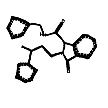 CC(CCN1C(=O)c2ccccc2C1C(=O)NCc1ccccc1)c1ccccc1